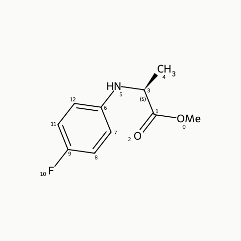 COC(=O)[C@H](C)Nc1ccc(F)cc1